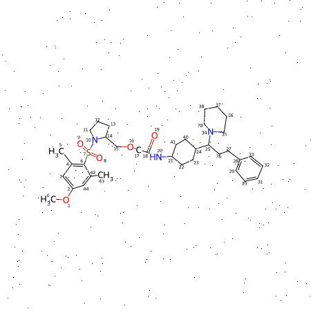 COc1cc(C)c(S(=O)(=O)N2CCCC2COCC(=O)NC2CCC(C(CCc3ccccc3)N3CCCCC3)CC2)c(C)c1